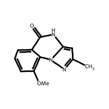 COc1cccc2c(=O)[nH]c3cc(C)nn3c12